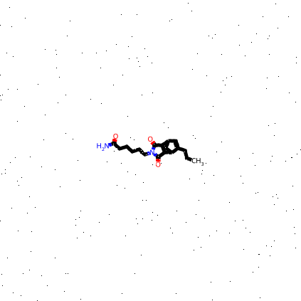 CCCC1=CC2CC1C1C(=O)N(CCCCCC(N)=O)C(=O)C21